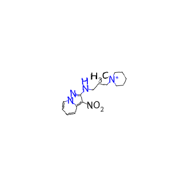 C[N+]1(CCCNc2nn3ccccc3c2[N+](=O)[O-])CCCCC1